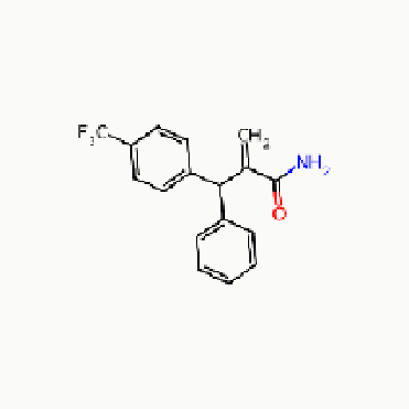 C=C(C(N)=O)C(c1ccccc1)c1ccc(C(F)(F)F)cc1